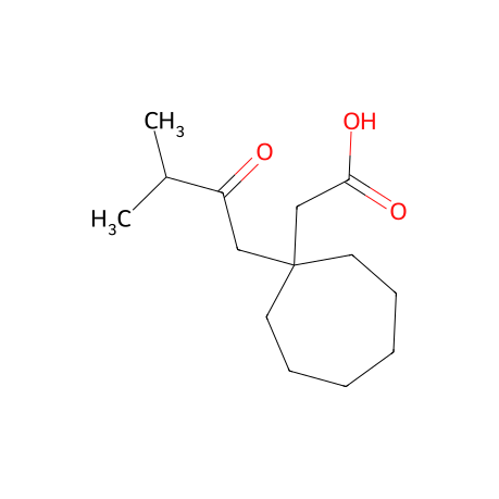 CC(C)C(=O)CC1(CC(=O)O)CCCCCC1